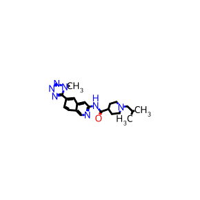 CC(C)CN1CCC(C(=O)Nc2cc3cc(-c4nnnn4C)ccc3cn2)CC1